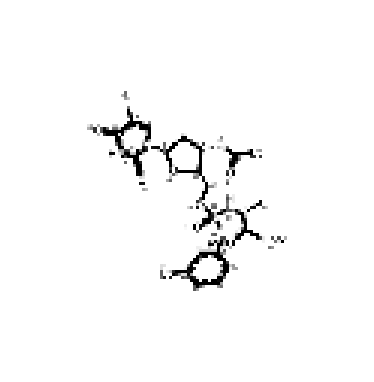 CCC(=O)O[C@H]1C[C@H](n2cc(F)c(=O)[nH]c2=O)O[C@@H]1COP(=O)(N[C@@H](C)C(OC)OC)Oc1cccc(CC)c1